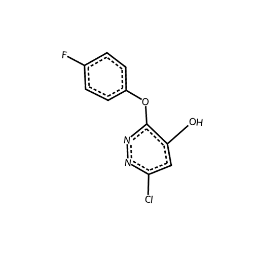 Oc1cc(Cl)nnc1Oc1ccc(F)cc1